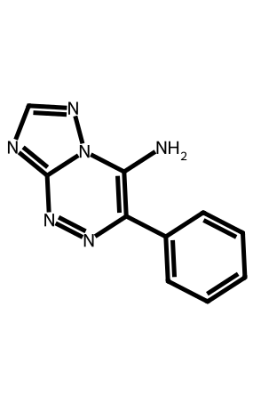 Nc1c(-c2ccccc2)nnc2ncnn12